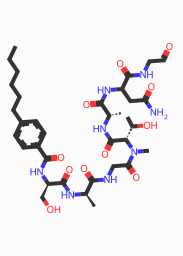 CCCCCCc1ccc(C(=O)N[C@H](CO)C(=O)N[C@H](C)C(=O)NCC(=O)N(C)[C@H](C(=O)N[C@@H](C)C(=O)NC(CC(N)=O)C(=O)NCC=O)C(C)O)cc1